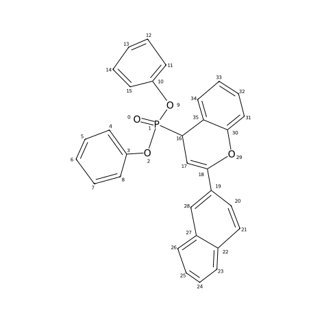 O=P(Oc1ccccc1)(Oc1ccccc1)C1C=C(c2ccc3ccccc3c2)Oc2ccccc21